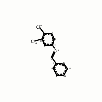 Clc1ccc(N=Cc2ccccc2)cc1Cl